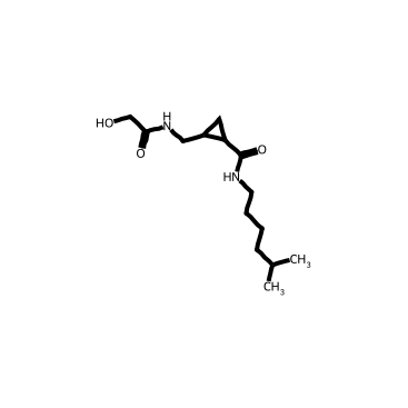 CC(C)CCCCNC(=O)C1CC1CNC(=O)CO